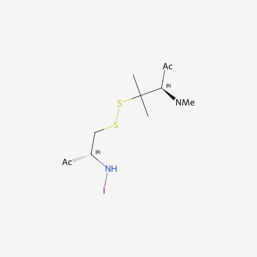 CN[C@H](C(C)=O)C(C)(C)SSC[C@H](NI)C(C)=O